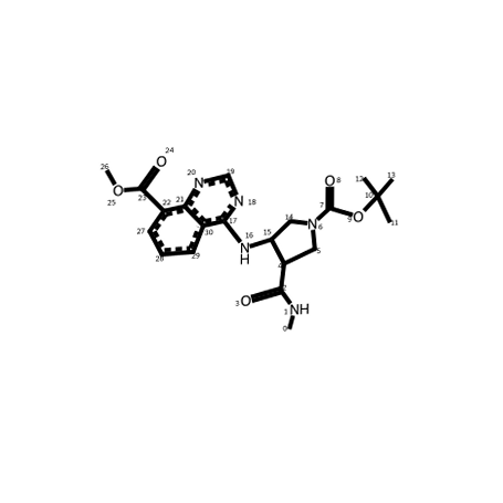 CNC(=O)C1CN(C(=O)OC(C)(C)C)CC1Nc1ncnc2c(C(=O)OC)cccc12